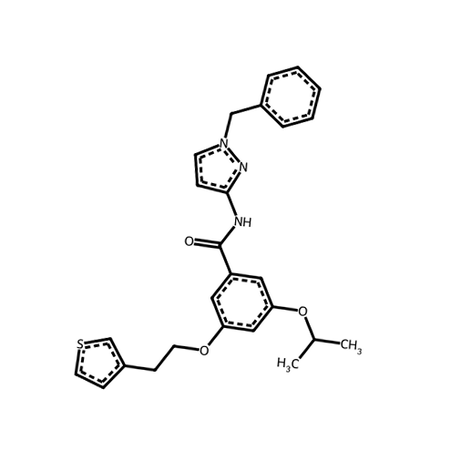 CC(C)Oc1cc(OCCc2ccsc2)cc(C(=O)Nc2ccn(Cc3ccccc3)n2)c1